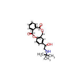 CC(C)(C)NCC(O)c1ccc2c(c1)COC(=O)c1ccccc1C(=O)O2